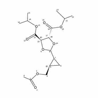 CC(=O)OC[C@@H]1CC1C1O[C@@H](C(=O)OC(C)C)[C@H](C(=O)OC(C)C)O1